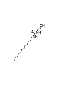 CCCCCCCCCCCCNC(=S)NCCO